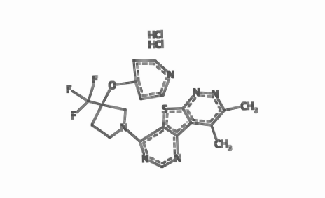 Cc1nnc2sc3c(N4CCC(Oc5ccncc5)(C(F)(F)F)C4)ncnc3c2c1C.Cl.Cl